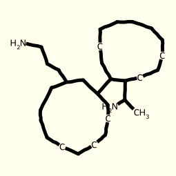 CC(N)C1CCCCCCCCCCC1C1CCCCCCCCCCC(CCCN)C1